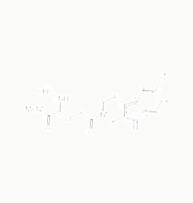 CNC(=O)C(CCC(=O)N1CCc2c([nH]c3ccc(Cl)cc23)C1)NC=O